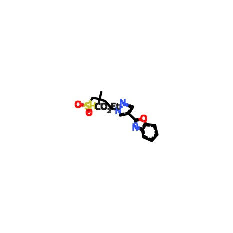 CCOC(=O)C(C)(CCn1cc(-c2nc3ccccc3o2)cn1)C[SH](=O)=O